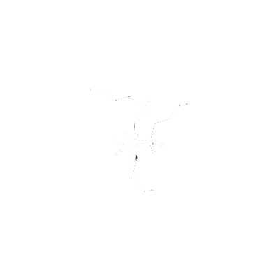 CCCCCCCCCCCCS(=O)(=O)[O][Ti](=[O])([O]C(C)C)([S](=O)(=O)CCCCCCCCCCCC)[S](=O)(=O)CCCCCCCCCCCC